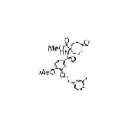 COC(=O)C1(NC(=O)c2ccc(OC)c(OCCc3cccc(C)c3)c2)CCCC(=O)CC1